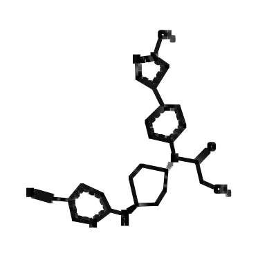 CCC(=O)N(c1ccc(-c2cnn(C)c2)cc1)[C@H]1CC[C@H](Nc2ccc(C#N)cn2)CC1